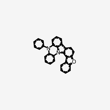 c1ccc(N2c3ccccc3-n3c4c2cccc4c2ccc4oc5ccccc5c4c23)cc1